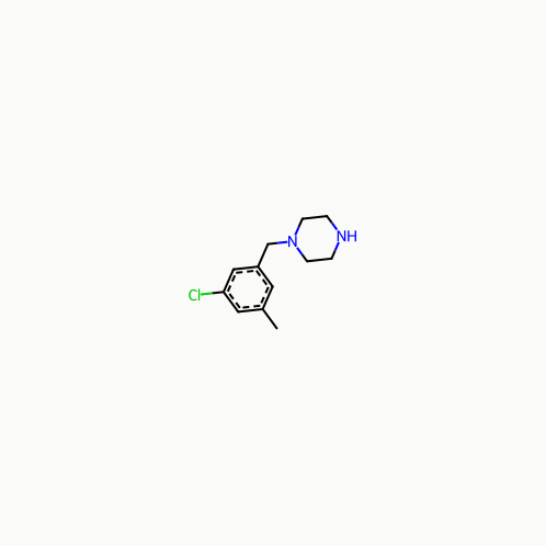 Cc1cc(Cl)cc(CN2CCNCC2)c1